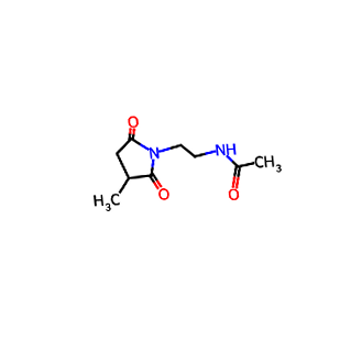 CC(=O)NCCN1C(=O)CC(C)C1=O